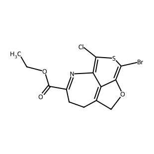 CCOC(=O)C1=NC2=C(Cl)SC(Br)=C3OCC(=C23)CC1